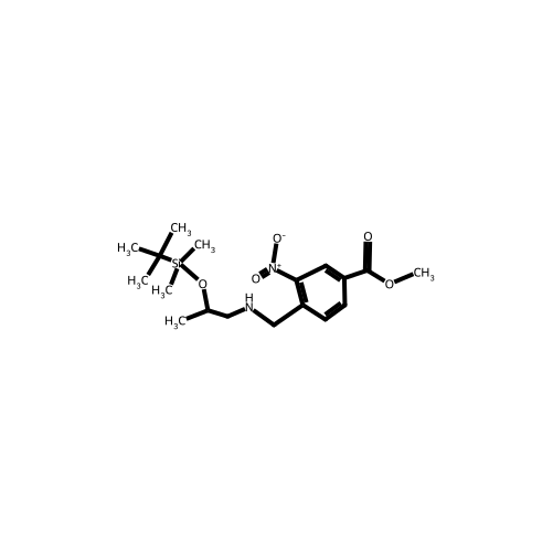 COC(=O)c1ccc(CNCC(C)O[Si](C)(C)C(C)(C)C)c([N+](=O)[O-])c1